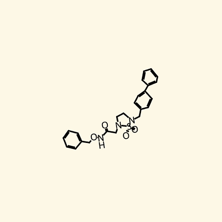 O=C(CN1CCN(Cc2ccc(-c3ccccc3)cc2)S1(=O)=O)NOCc1ccccc1